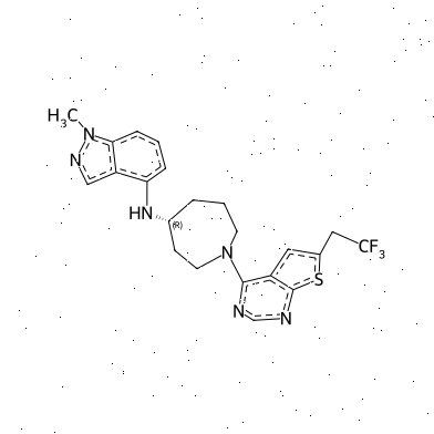 Cn1ncc2c(N[C@@H]3CCCN(c4ncnc5sc(CC(F)(F)F)cc45)CC3)cccc21